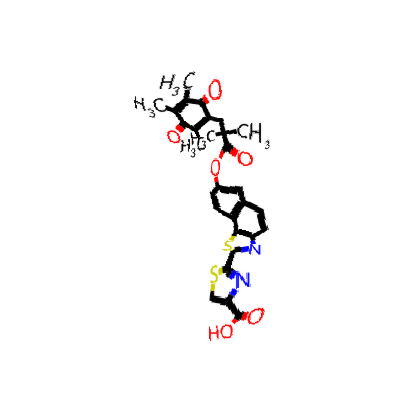 CC1=C(C)C(=O)C(CC(C)(C)C(=O)Oc2ccc3c(ccc4nc(C5=NC(C(=O)O)CS5)sc43)c2)=C(C)C1=O